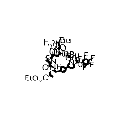 CCOC(=O)[C@@H](C)C[C@H](Cc1ccc(C2CC[C@H](C(=O)Oc3c(F)c(F)c(F)c(F)c3F)N(C(=O)OC(C)(C)C)C2)cc1)NC(=O)c1csc([C@H](O)C[C@H](C(C)C)N(C)C(=O)[C@@H](N)[C@@H](C)CC)n1